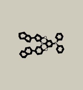 c1ccc(N(c2ccccc2)c2cc3c4c(c2)Oc2ccc(-c5ccc6ccccc6c5)cc2B4c2cc(-c4ccc5ccccc5c4)ccc2O3)cc1